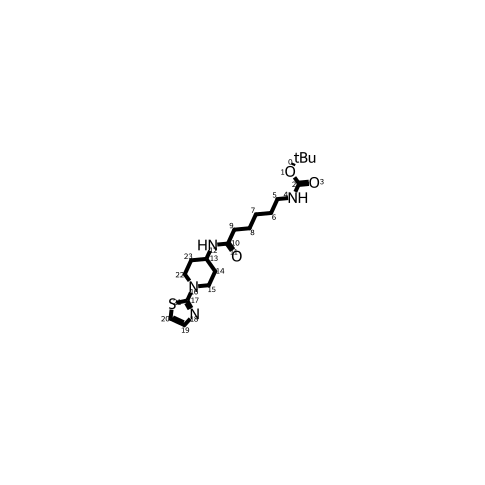 CC(C)(C)OC(=O)NCCCCCC(=O)NC1CCN(c2nccs2)CC1